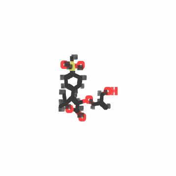 C=C(CO)COC1=C(c2ccc(S(C)(=O)=O)cc2)C(C)(C)OC1=O